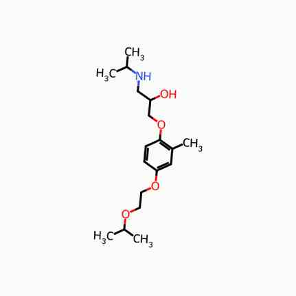 Cc1cc(OCCOC(C)C)ccc1OCC(O)CNC(C)C